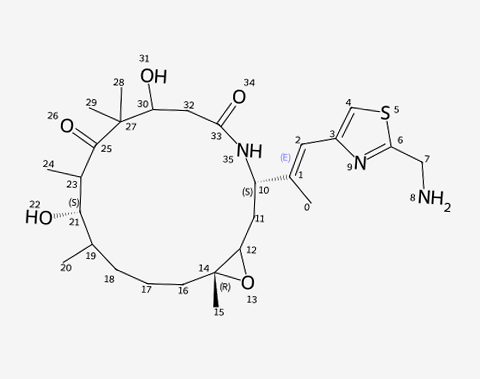 C/C(=C\c1csc(CN)n1)[C@@H]1CC2O[C@]2(C)CCCC(C)[C@H](O)C(C)C(=O)C(C)(C)C(O)CC(=O)N1